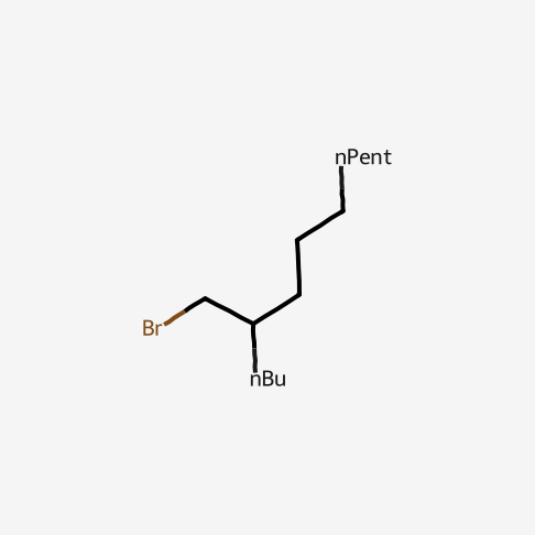 CCCCCCCCC(CBr)CCCC